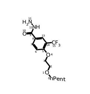 CCCCCOCCOc1ccc(C(=O)NN)cc1C(F)(F)F